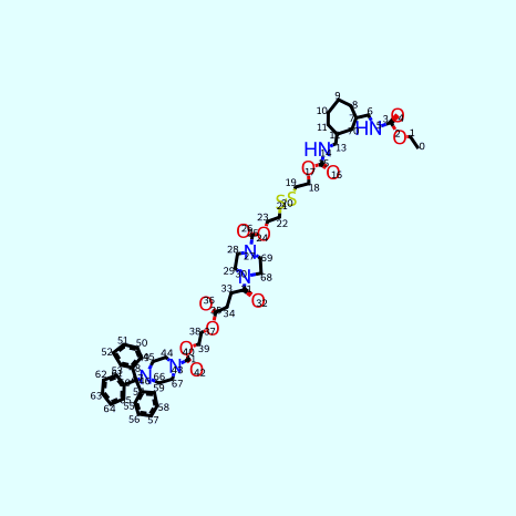 CCOC(=O)NCC1CCCCC(CNC(=O)OCCSSCCOC(=O)N2CCN(C(=O)CCC(=O)OCCOC(=O)N3CCN(C(c4ccccc4)(c4ccccc4)c4ccccc4)CC3)CC2)C1